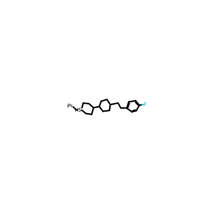 CC(C)C[SiH]1CCC(C2CCC(CCc3ccc(F)cc3)CC2)CC1